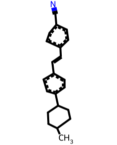 CC1CCC(c2ccc(C=Cc3ccc(C#N)cc3)cc2)CC1